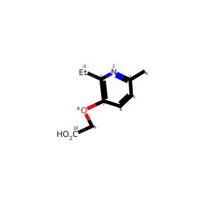 CCc1nc(C)ccc1OCC(=O)O